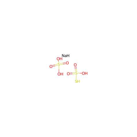 O=S(=O)(O)O.O=S(=O)(O)S.[NaH]